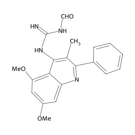 COc1cc(OC)c2c(NC(=N)NC=O)c(C)c(-c3ccccc3)nc2c1